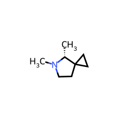 C[C@H]1N(C)CCC12CC2